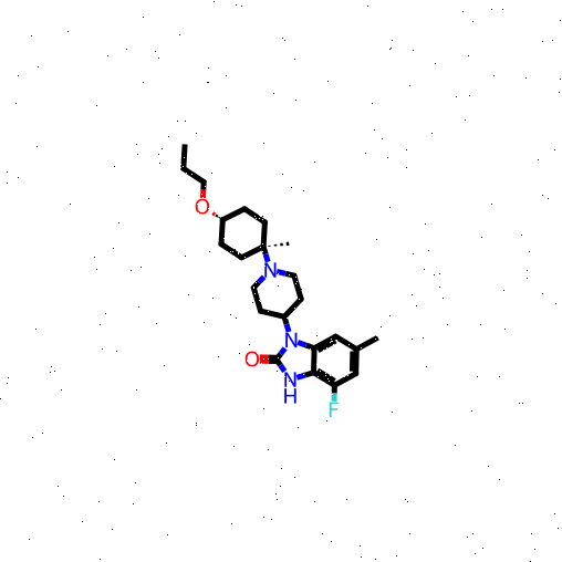 CCCO[C@H]1CC[C@](C)(N2CCC(n3c(=O)[nH]c4c(F)cc(C)cc43)CC2)CC1